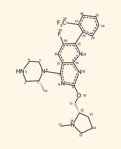 C[C@@H]1CNCCN1c1nc(OC[C@@H]2CCCN2C)nc2nc(-c3ccccc3C(F)(F)F)c(F)cc12